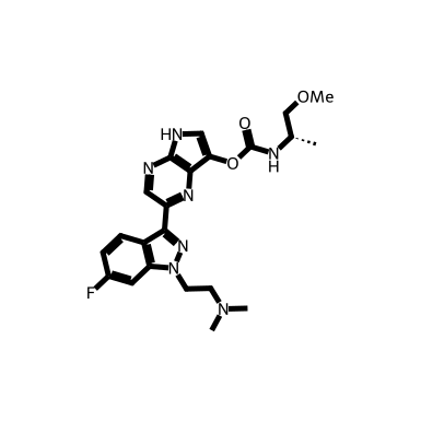 COC[C@H](C)NC(=O)Oc1c[nH]c2ncc(-c3nn(CCN(C)C)c4cc(F)ccc34)nc12